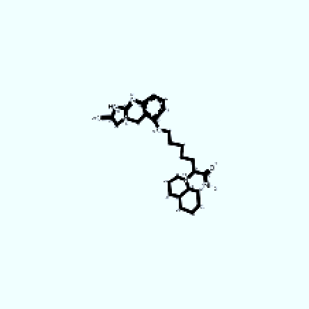 NC(=O)C(CCCCCOc1cccc2c1CN1CC(=O)NC1=N2)N1CCCC2CCCCC21